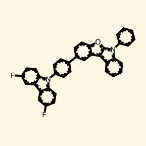 Fc1ccc2c(c1)c1cc(F)ccc1n2-c1ccc(-c2ccc3oc4c(c3c2)c2ccccc2n4-c2ccccc2)cc1